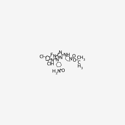 CC(C)OC(=O)N1CCC[C@@H](Nc2ncc3nc(Nc4c(F)cc(Cl)cc4Cl)n([C@H]4CC[C@@H](C(N)=O)CC4)c3n2)C1